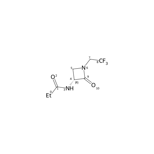 CCC(=O)N[C@@H]1CN(CC(F)(F)F)C1=O